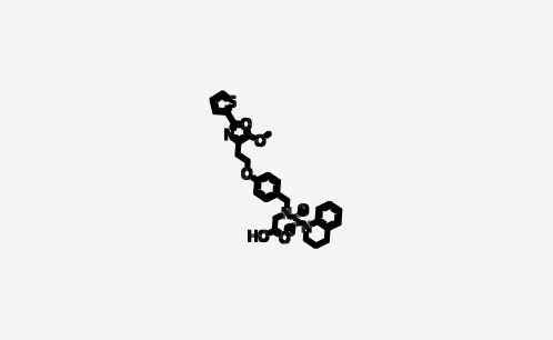 COc1oc(-c2cccs2)nc1CCOc1ccc(CN(CC(=O)O)S(=O)(=O)N2CCCc3ccccc32)cc1